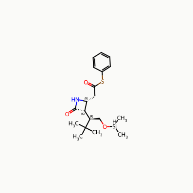 C[SiH](C)OC[C@H]([C@@H]1C(=O)N[C@@H]1CC(=O)Sc1ccccc1)C(C)(C)C